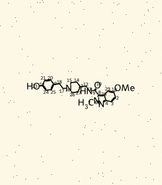 COc1ccc2nn(C)c(C(=O)NCC3CCN(CCc4ccc(O)cc4)CC3)c2c1